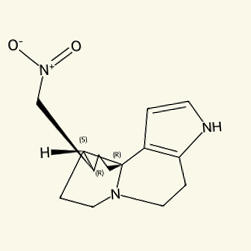 O=[N+]([O-])C[C@@H]1CC[C@@]23c4cc[nH]c4CCN2CC[C@@H]13